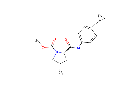 CC(C)(C)OC(=O)N1C[C@@H](C(F)(F)F)C[C@@H]1C(=O)Nc1ccc(C2CC2)cc1